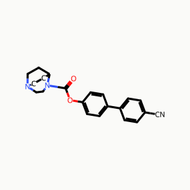 N#Cc1ccc(-c2ccc(OC(=O)N3CCN4CCC3CC4)cc2)cc1